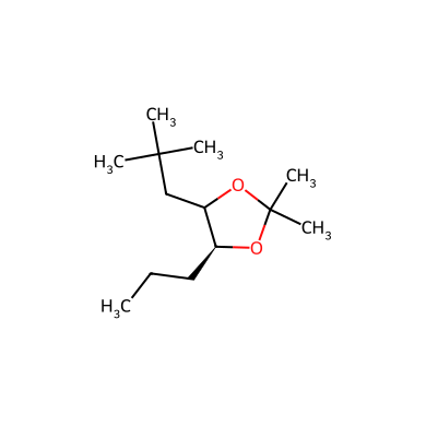 CCC[C@@H]1OC(C)(C)OC1CC(C)(C)C